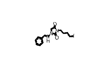 O=C1CN(NCc2ccccc2)C(=O)N1CCCCI